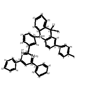 Cc1ccc(-c2ccc3c(c2)C(C)(C)c2ccccc2N3c2cccc(-c3nc(-c4ccccc4)cc(-c4ccccc4)n3)c2)cc1